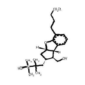 CCOC(=O)CCCc1cccc2c1O[C@H]1C[C@@H](CC(C)(C)[Si](C)(C)O)[C@H](CO)[C@@H]21